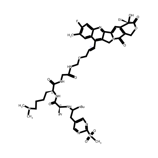 CCCCC(Cc1cnc(S(C)(=O)=O)nc1)N[C@H](C(=O)N[C@@H](CCCCN(C)C)C(=O)NCC(=O)NCOC/C=C/c1c2c(nc3cc(F)c(C)cc13)-c1cc3c(c(=O)n1C2)COC(=O)[C@]3(O)CC)C(C)C